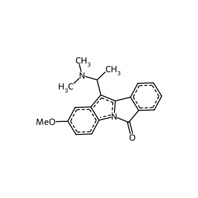 COc1ccc2c(c1)c(C(C)N(C)C)c1n2C(=O)c2ccccc2-1